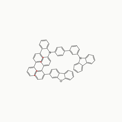 c1ccc(-c2ccc(-c3ccccc3N(c3ccc(-c4cccc(-n5c6ccccc6c6ccccc65)c4)cc3)c3ccc(-c4ccccc4-c4ccc5c(c4)oc4ccccc45)cc3)cc2)cc1